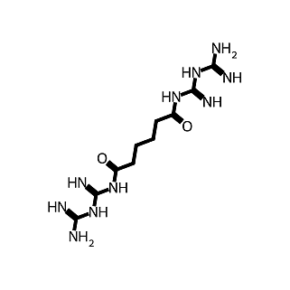 N=C(N)NC(=N)NC(=O)CCCCC(=O)NC(=N)NC(=N)N